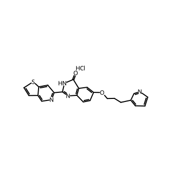 Cl.O=c1[nH]c(-c2cc3sccc3cn2)nc2ccc(OCCCc3cccnc3)cc12